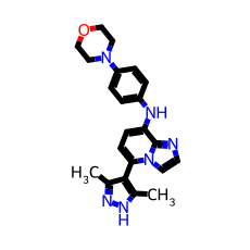 Cc1n[nH]c(C)c1-c1ccc(Nc2ccc(N3CCOCC3)cc2)c2nccn12